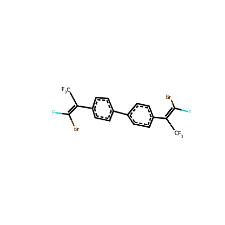 FC(Br)=C(c1ccc(-c2ccc(C(=C(F)Br)C(F)(F)F)cc2)cc1)C(F)(F)F